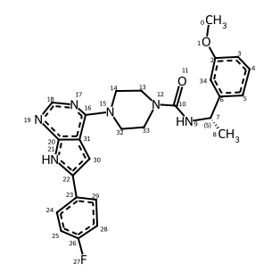 COc1cccc([C@H](C)NC(=O)N2CCN(c3ncnc4[nH]c(-c5ccc(F)cc5)cc34)CC2)c1